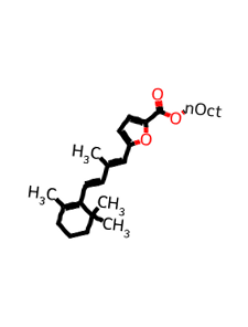 CCCCCCCCOC(=O)c1ccc(/C=C(\C)C=CC2=C(C)CCCC2(C)C)o1